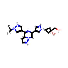 CCC(CC)n1cc(-c2nc(-c3cnn([C@H]4C[C@](O)(CO)C4)c3)cn3nccc23)cn1